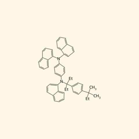 CCC(C)(C)c1ccc(C(CC)(CC)N(c2ccc(N(c3cccc4ccccc34)c3cccc4ccccc34)cc2)c2cccc3ccccc23)cc1